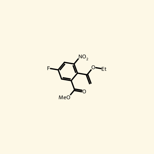 C=C(OCC)c1c(C(=O)OC)cc(F)cc1[N+](=O)[O-]